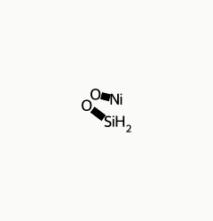 O=[SiH2].[O]=[Ni]